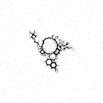 CN1CC/C=C/[C@H](OCCN2CC(F)(F)C2)[C@@H]2CC[C@H]2CN2C[C@@]3(CCCc4cc(Cl)ccc43)COc3ccc(cc32)[C@@](O)(C(=O)NS(N)(=O)=O)CC1=O